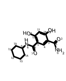 NC(=O)c1cc(C(=O)NC2CCCCC2)c(O)cc1O